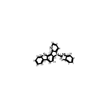 c1ccc2sc(-n3c4cccnc4c4c5sc6ccccc6c5ccc43)nc2c1